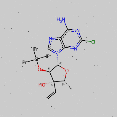 C=C[C@]1(O)[C@@H](C)O[C@@H](n2cnc3c(N)nc(Cl)nc32)[C@@H]1O[Si](C(C)C)(C(C)C)C(C)C